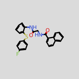 O=C(CNC(=O)c1cccc2ccccc12)Nc1ccccc1Sc1ccc(F)cc1